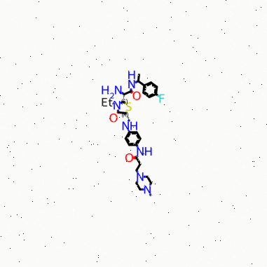 CCN1C(=O)[C@@H](CNc2ccc(NC(=O)CCN3CCN(C)CC3)cc2)S[C@H]1C(N)C(=O)NC(C)c1ccc(F)cc1